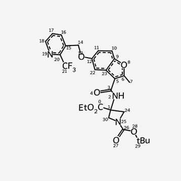 CCOC(=O)C1(NC(=O)c2c(C)oc3ccc(OCc4cccnc4C(F)(F)F)cc23)CN(C(=O)OC(C)(C)C)C1